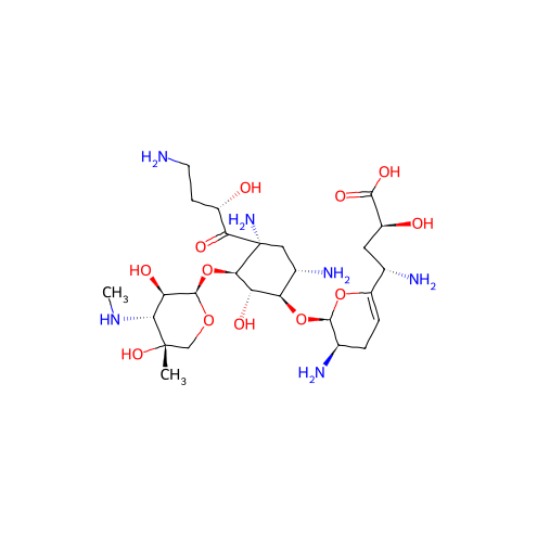 CN[C@@H]1[C@@H](O)[C@@H](O[C@@H]2[C@@H](O)[C@H](O[C@H]3OC([C@@H](N)C[C@H](O)C(=O)O)=CC[C@H]3N)[C@@H](N)C[C@]2(N)C(=O)[C@@H](O)CCN)OC[C@]1(C)O